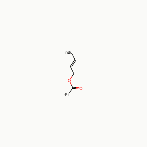 C[CH]C(=O)OC/C=C/CCCC